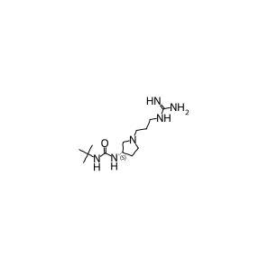 CC(C)(C)NC(=O)N[C@H]1CCN(CCCNC(=N)N)C1